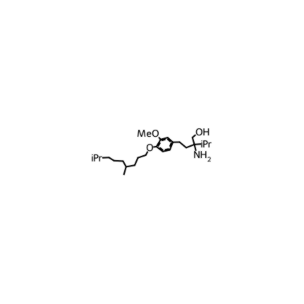 COc1cc(CCC(N)(CO)C(C)C)ccc1OCCCC(C)CCCC(C)C